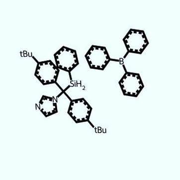 CC(C)(C)c1ccc(C([SiH2]c2ccccc2)(c2ccc(C(C)(C)C)cc2)n2ccnc2)cc1.c1ccc(B(c2ccccc2)c2ccccc2)cc1